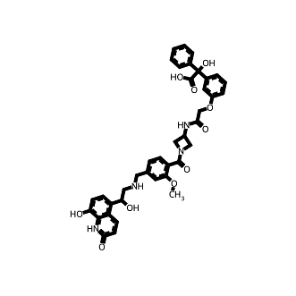 COc1cc(CNCC(O)c2ccc(O)c3[nH]c(=O)ccc23)ccc1C(=O)N1CC(NC(=O)COc2cccc(C(O)(C(=O)O)c3ccccc3)c2)C1